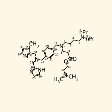 CCCN(CCC)CCCCN(CCC(=O)OCCN(C)C)Cc1ccc(CN(Cc2ncc[nH]2)Cc2nccn2C)cc1